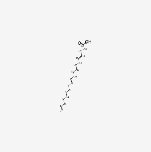 C=CCCCCCCCCCCCCC/C=C/CCC(=O)O